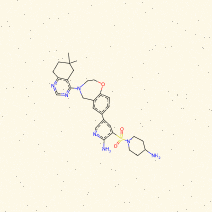 CC1(C)CCc2ncnc(N3CCOc4ccc(-c5cnc(N)c(S(=O)(=O)N6CCC(N)CC6)c5)cc4C3)c2C1